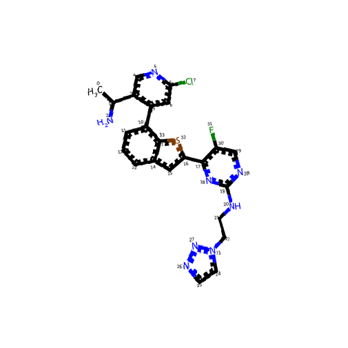 CC(N)c1cnc(Cl)cc1-c1cccc2cc(-c3nc(NCCn4ccnn4)ncc3F)sc12